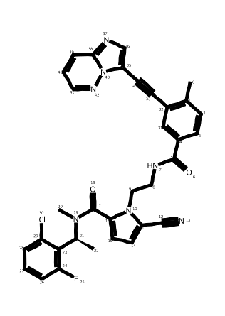 Cc1ccc(C(=O)NCCn2c(C#N)ccc2C(=O)N(C)[C@@H](C)c2c(F)cccc2Cl)cc1C#Cc1cnc2cccnn12